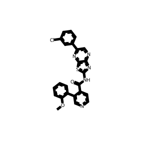 COc1ccccc1-c1cnccc1C(=O)Nc1nc2ncc(-c3cccc(Cl)c3)nc2s1